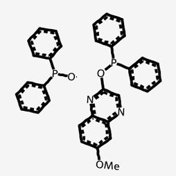 COc1ccc2nc(OP(c3ccccc3)c3ccccc3)cnc2c1.[O]P(c1ccccc1)c1ccccc1